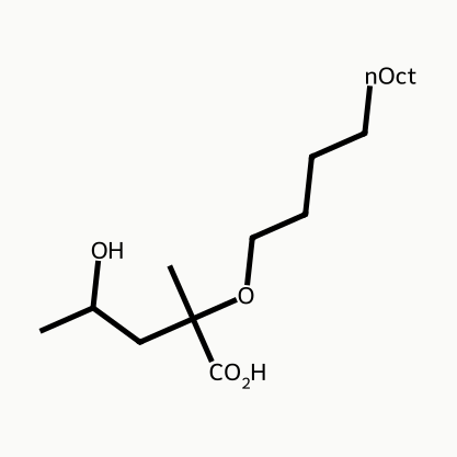 CCCCCCCCCCCCOC(C)(CC(C)O)C(=O)O